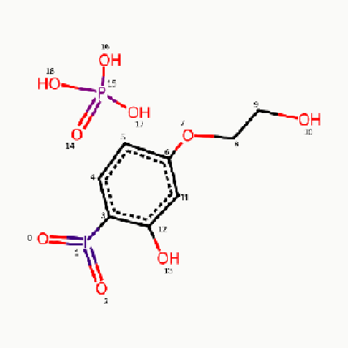 O=I(=O)c1ccc(OCCO)cc1O.O=P(O)(O)O